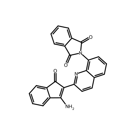 NC1=C(c2ccc3cccc(N4C(=O)c5ccccc5C4=O)c3n2)C(=O)c2ccccc21